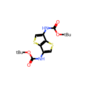 CC(C)(C)OC(=O)Nc1csc2c(NC(=O)OC(C)(C)C)csc12